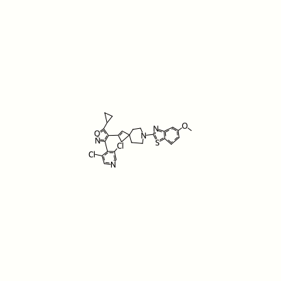 COc1ccc2sc(N3CCC4(C=C(c5c(-c6c(Cl)cncc6Cl)noc5C5CC5)C4)CC3)nc2c1